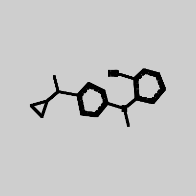 CC(c1ccc(N(C)c2ccccc2O)cc1)C1CC1